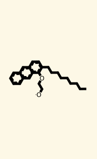 CCCCCCCCCc1ccc2cc3ccccc3cc2c1OCC[O]